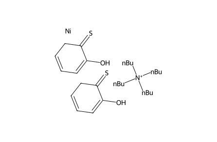 CCCC[N+](CCCC)(CCCC)CCCC.OC1=CC=CCC1=S.OC1=CC=CCC1=S.[Ni]